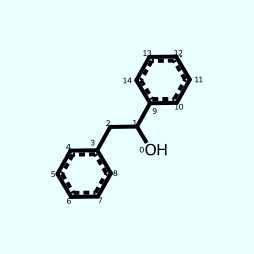 OC(Cc1ccccc1)c1cc[c]cc1